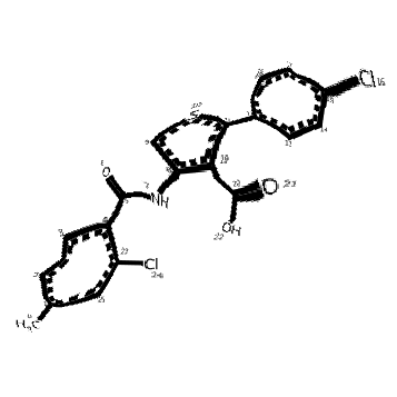 Cc1ccc(C(=O)Nc2csc(-c3ccc(Cl)cc3)c2C(=O)O)c(Cl)c1